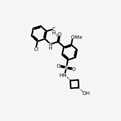 COc1ccc(S(=O)(=O)N[C@H]2C[C@@H](O)C2)cc1C(=O)Nc1c(C)cccc1Cl